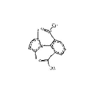 Cc1ccc(C)n1-c1c(C(=O)O)cccc1[N+](=O)[O-]